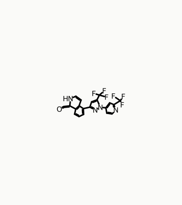 O=C=C1NC=Cc2c1cccc2-c1cc(C(F)(F)F)n(-c2ccnc(C(F)(F)F)c2)n1